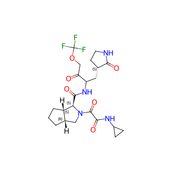 O=C(NC1CC1)C(=O)N1C[C@@H]2CCC[C@@H]2[C@H]1C(=O)NC(C[C@@H]1CCNC1=O)C(=O)COC(F)(F)F